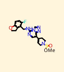 COS(=O)N1CC=C(c2cnc(NCc3c(F)ccc4c3CCO4)n3cnnc23)CC1